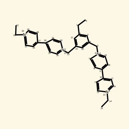 CCc1cc(C[n+]2ccc(-c3cc[n+](CC)cc3)cc2)cc(C[n+]2ccc(-c3cc[n+](CC)cc3)cc2)c1